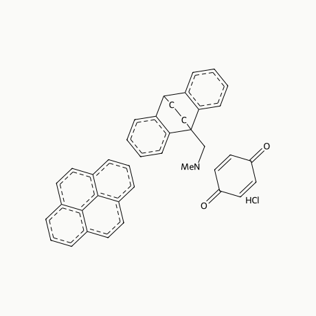 CNCC12CCC(c3ccccc31)c1ccccc12.Cl.O=C1C=CC(=O)C=C1.c1cc2ccc3cccc4ccc(c1)c2c34